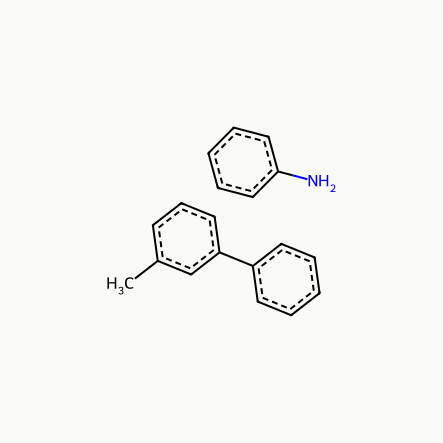 Cc1cccc(-c2ccccc2)c1.Nc1ccccc1